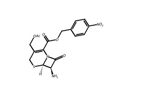 CC(=O)OCC1=C(C(=O)OCc2ccc([N+](=O)[O-])cc2)N2C(=O)[C@@H](N)[C@H]2SC1